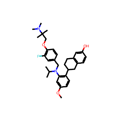 COc1ccc(C2CCc3cc(O)ccc3C2)c(N(Cc2ccc(OCC(C)(C)N(C)C)c(F)c2)C(C)C)c1